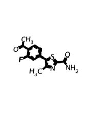 CC(=O)c1ccc(-c2sc(C(N)=O)nc2C)cc1F